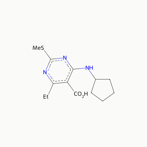 CCc1nc(SC)nc(NC2CCCC2)c1C(=O)O